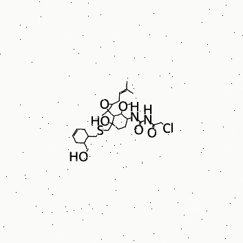 COC1C(NC(=O)NC(=O)CCl)CCC(O)(CSCC2CC=CCC2CO)C1C1(C)OC1CC=C(C)C